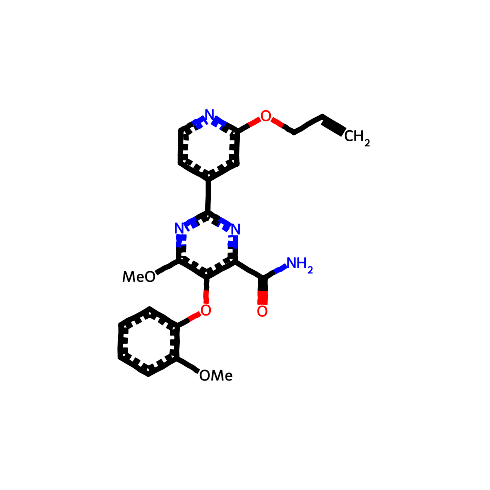 C=CCOc1cc(-c2nc(OC)c(Oc3ccccc3OC)c(C(N)=O)n2)ccn1